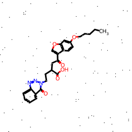 CCCCCOc1ccc2c(C(=O)CC(CCn3nnc4ccccc4c3=O)C(=O)O)coc2c1